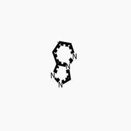 [c]1cnn2cnnc2c1